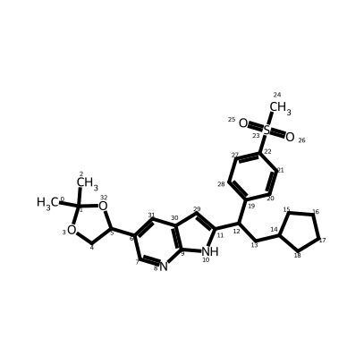 CC1(C)OCC(c2cnc3[nH]c(C(CC4CCCC4)c4ccc(S(C)(=O)=O)cc4)cc3c2)O1